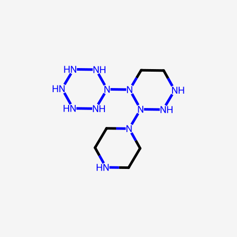 C1CN(N2NNCCN2N2NNNNN2)CCN1